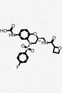 O=C(O)Nc1ccc2c(c1)N(S(=O)(=O)c1ccc(F)cc1)C[C@H](CNC(=O)C1CCO1)O2